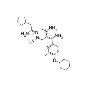 Cc1nc(/C(N)=C(\CN(N)/N=C(\N)CC2CCCC2)N(C)N)ccc1OC1CCCCC1